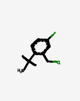 CC(C)([SiH3])c1ccc(F)cc1CCl